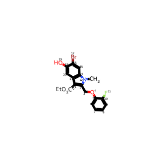 CCOC(=O)c1c(COc2ccccc2F)n(C)c2cc(Br)c(O)cc12